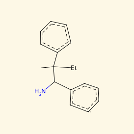 CCC(C)(c1ccccc1)C(N)c1c[c]ccc1